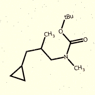 CC(CC1CC1)CN(C)C(=O)OC(C)(C)C